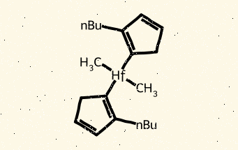 CCCCC1=[C]([Hf]([CH3])([CH3])[C]2=C(CCCC)C=CC2)CC=C1